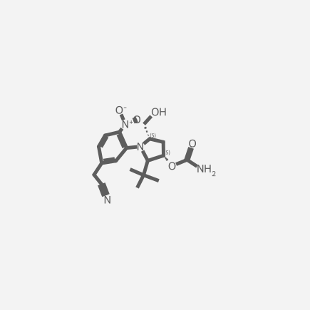 CC(C)(C)C1[C@@H](OC(N)=O)C[C@@H](CO)N1c1cc(CC#N)ccc1[N+](=O)[O-]